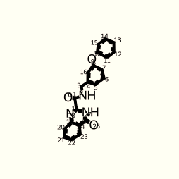 O=C(NCc1cccc(Oc2ccccc2)c1)c1nc2ccccc2c(=O)[nH]1